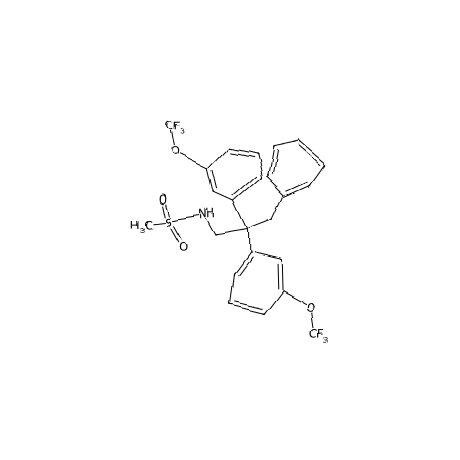 CS(=O)(=O)NCC(Cc1ccccc1)(c1cccc(OC(F)(F)F)c1)c1cccc(OC(F)(F)F)c1